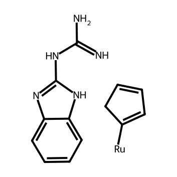 N=C(N)Nc1nc2ccccc2[nH]1.[Ru][C]1=CC=CC1